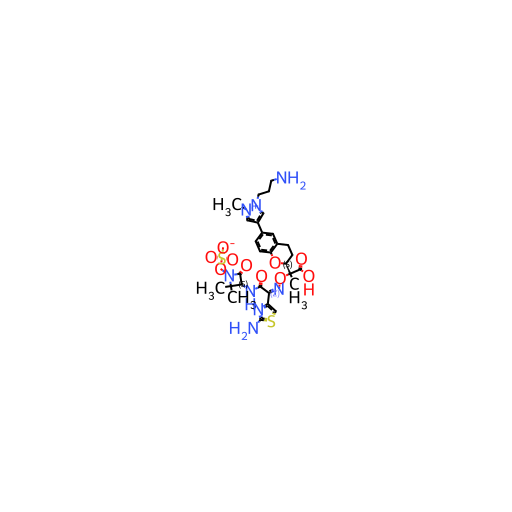 C[n+]1cc(-c2ccc3c(c2)CC[C@@H](C(C)(O/N=C(\C(=O)N[C@@H]2C(=O)N(OS(=O)(=O)[O-])C2(C)C)c2csc(N)n2)C(=O)O)O3)cn1CCCN